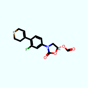 O=CO[C@H]1CN(c2ccc(C3=CCSCC3)c(F)c2)C(=O)O1